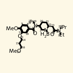 BN1CC(N(C(=O)c2ccc(OC)c(OCCCOC)c2)C(C)C)CC[C@H]1CC(=O)N(CC)C(C)C